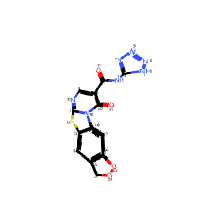 O=C(Nc1nnn[nH]1)c1cnc2sc3cc4c(cc3n2c1=O)OOC4